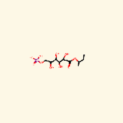 CCC(C)OC(=O)C(O)C(O)C(O)C(O)COP(=O)(O)O